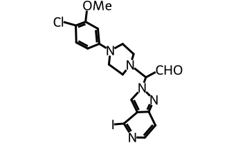 COc1cc(N2CCN(C(C=O)n3cc4c(I)nccc4n3)CC2)ccc1Cl